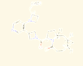 COC[C@@H]1CCN1c1ccncc1C1CN(C(=O)[C@@H]2CC[C@@H]3C[C@H]4C[C@@H]4CCC(=O)N32)C1